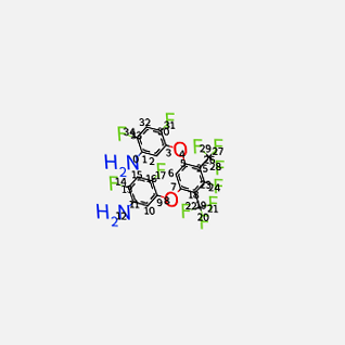 Nc1cc(Oc2cc(Oc3cc(N)c(F)cc3F)c(C(F)(F)F)c(F)c2C(F)(F)F)c(F)cc1F